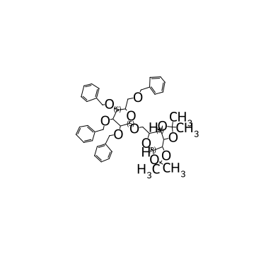 CC1(C)OC2C3OC(C)(C)O[C@H]3C(CO[C@H]3OC(COCc4ccccc4)[C@H](OCc4ccccc4)C(OCc4ccccc4)C3OCc3ccccc3)O[C@@H]2O1